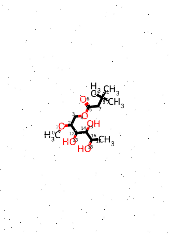 COC(COC(=O)CC(C)(C)C)C(O)C(O)C(C)O